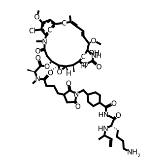 C=CC(C)N[C@@H](CCCCN)C(=O)NC(=O)C1CCC(CN2C(=O)CC(CCCC(=O)N(C)[C@@H](C)C(=O)O[C@H]3CC(=O)N(C)c4cc(cc(OC)c4Cl)C/C(C)=C/C=C/[C@@H](OC)[C@@]4(O)C[C@H](OC(=O)N4)[C@@H](C)[C@@H]4O[C@@]34C)C2=O)CC1